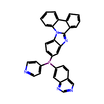 c1ccc2c(c1)c1ccccc1n1c3ccc(P(c4ccncc4)c4ccc5cncnc5c4)cc3nc21